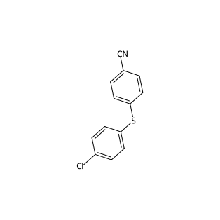 N#Cc1ccc(Sc2ccc(Cl)cc2)cc1